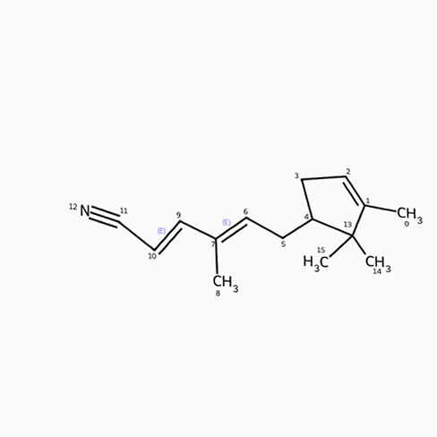 CC1=CCC(C/C=C(C)/C=C/C#N)C1(C)C